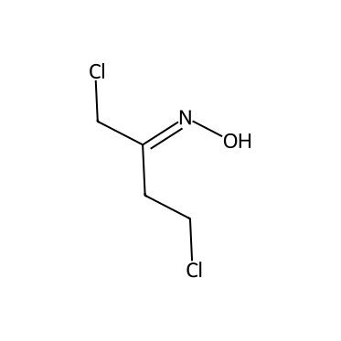 ON=C(CCl)CCCl